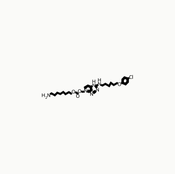 N#CN=C(NCCCCCCOc1ccc(Cl)cc1)Nc1cc[n+](COC(=O)OCCCCCCCCN)cc1